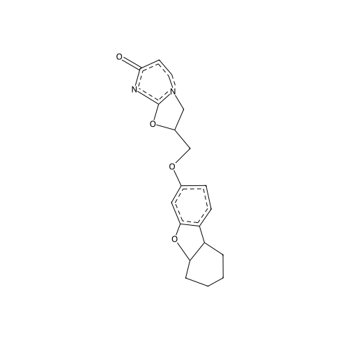 O=c1ccn2c(n1)OC(COc1ccc3c(c1)OC1CCCCC31)C2